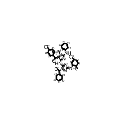 Cc1ccc(Cl)cc1Nc1nc(NC2=NC(Nc3ccccc3)N(N)N2C(=O)c2ccc(Cl)cc2)n(C(=O)c2ccccc2)n1